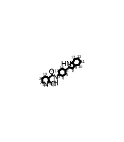 O=C(Nc1ccc(-c2cc3ccccc3[nH]2)cc1)c1cccnc1Cl